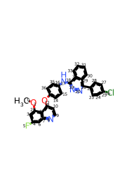 COc1cc(F)cc2nccc(Oc3ccc(Nc4nnc(-c5ccc(Cl)cc5)c5ccccc45)cc3)c12